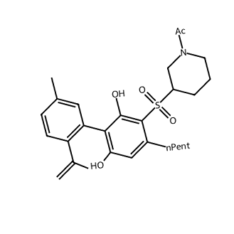 C=C(C)c1ccc(C)cc1-c1c(O)cc(CCCCC)c(S(=O)(=O)C2CCCN(C(C)=O)C2)c1O